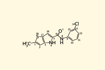 Cc1cc2[nH]c(C(=O)Nc3cccc(Cl)c3)cc2s1